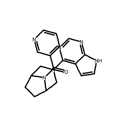 O=C(c1cccnc1)N1C2CCC1CN(c1ncnc3[nH]ccc13)C2